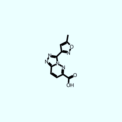 Cc1cc(-c2nnc3ccc(C(=O)O)nn23)no1